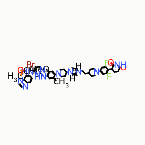 COc1cc(N2CCC(N3C[C@@H]4C[C@H]3CN4CCC3CCN(c4cc(F)c(C5CCC(=O)NC5=O)c(F)c4)CC3)CC2)c(C)cc1Nc1ncc(Br)c(Nc2ccc3nccnc3c2P(C)(C)=O)n1